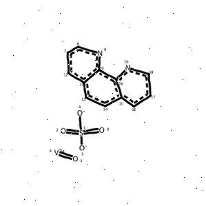 O=S(=O)([O-])[O-].[O]=[V+2].c1cnc2c(c1)ccc1cccnc12